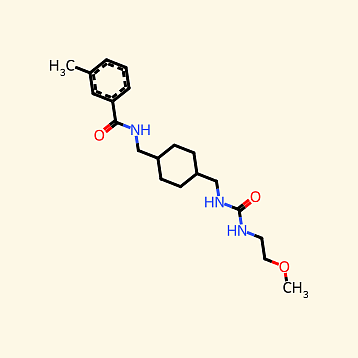 COCCNC(=O)NCC1CCC(CNC(=O)c2cccc(C)c2)CC1